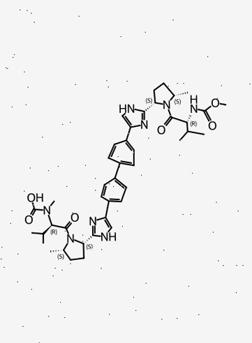 COC(=O)N[C@@H](C(=O)N1[C@@H](C)CC[C@H]1c1nc(-c2ccc(-c3ccc(-c4c[nH]c([C@@H]5CC[C@H](C)N5C(=O)[C@@H](C(C)C)N(C)C(=O)O)n4)cc3)cc2)c[nH]1)C(C)C